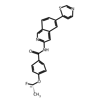 C[C@H](F)Oc1ccc(C(=O)Nc2cc3cc(C4=C=CN=CS4)ccc3cn2)cc1